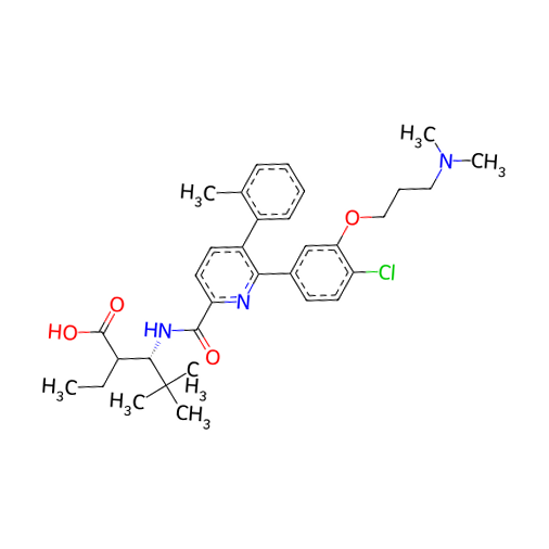 CCC(C(=O)O)[C@H](NC(=O)c1ccc(-c2ccccc2C)c(-c2ccc(Cl)c(OCCCN(C)C)c2)n1)C(C)(C)C